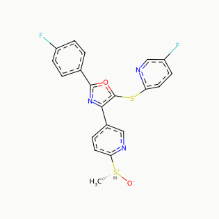 C[S@@+]([O-])c1ccc(-c2nc(-c3ccc(F)cc3)oc2Sc2ccc(F)cn2)cn1